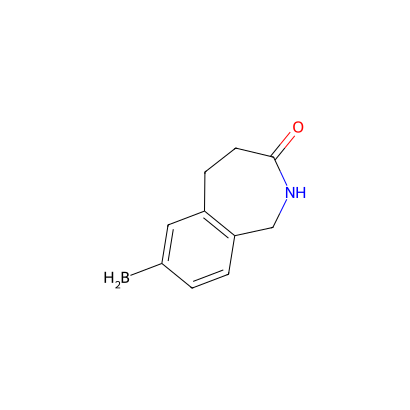 Bc1ccc2c(c1)CCC(=O)NC2